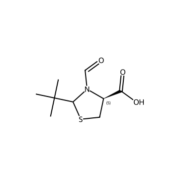 CC(C)(C)C1SC[C@H](C(=O)O)N1C=O